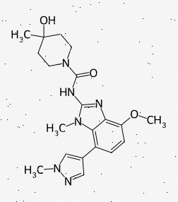 COc1ccc(-c2cnn(C)c2)c2c1nc(NC(=O)N1CCC(C)(O)CC1)n2C